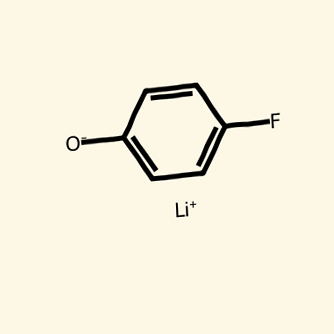 [Li+].[O-]c1ccc(F)cc1